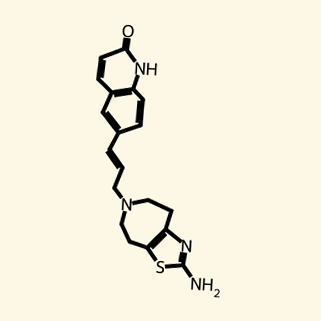 Nc1nc2c(s1)CCN(CC=Cc1ccc3[nH]c(=O)ccc3c1)CC2